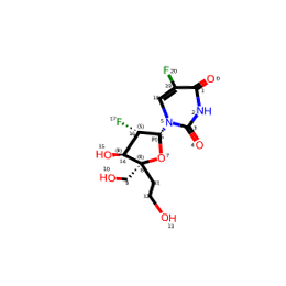 O=c1[nH]c(=O)n([C@@H]2O[C@@](CO)(CCO)[C@@H](O)[C@@H]2F)cc1F